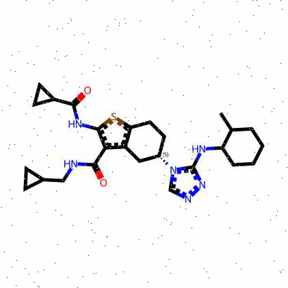 CC1CCCCC1Nc1nncn1[C@H]1CCc2sc(NC(=O)C3CC3)c(C(=O)NCC3CC3)c2C1